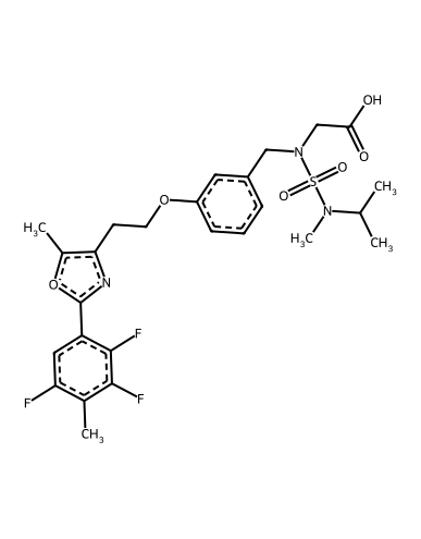 Cc1oc(-c2cc(F)c(C)c(F)c2F)nc1CCOc1cccc(CN(CC(=O)O)S(=O)(=O)N(C)C(C)C)c1